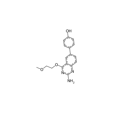 COCCOc1nc(N)nc2ccc(-c3ccc(O)cc3)cc12